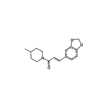 CC1CCN(C(=O)C=Cc2ccc3c(c2)OCO3)CC1